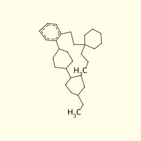 CCCC1(CCc2ccccc2C2CCC(C3CCC(CC)CC3)CC2)CCCCC1